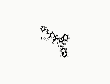 O=C(O)C1=C(CSc2cnn[nH]2)CS[C@H]2C(NC(=O)C(NC(=O)c3nc4ccccc4[nH]3)c3ccccc3)C(=O)N12